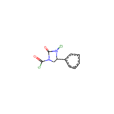 O=C(Cl)N1CC(c2ccccc2)N(Cl)C1=O